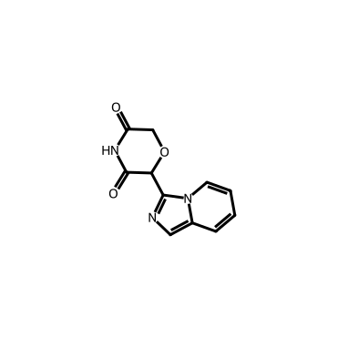 O=C1COC(c2ncc3ccccn23)C(=O)N1